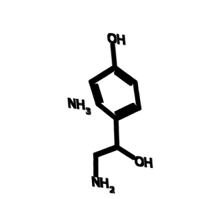 N.NCC(O)c1ccc(O)cc1